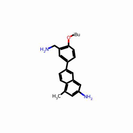 CCC(C)Oc1ccc(-c2ccc3c(C)cc(N)cc3c2)cc1CN